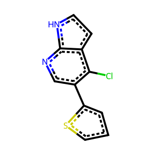 Clc1c(-c2cccs2)cnc2[nH]ccc12